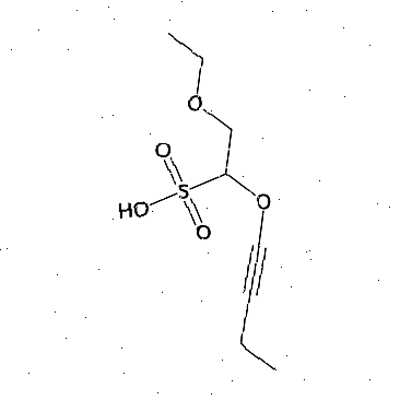 CCC#COC(COCC)S(=O)(=O)O